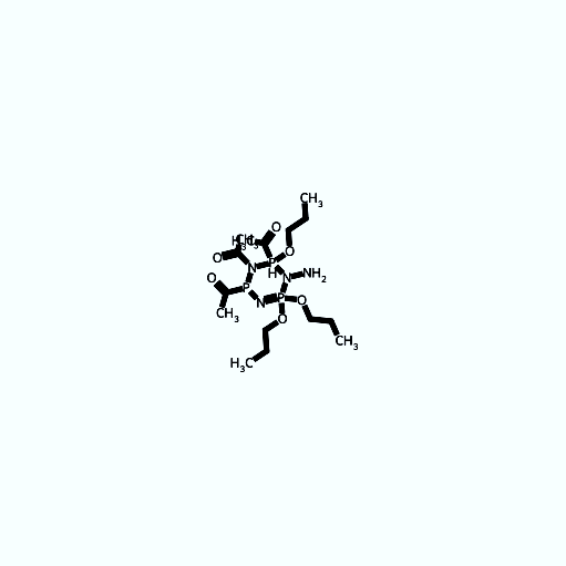 CCCOP1(OCCC)=NP(C(C)=O)N(C(C)=O)[PH](OCCC)(C(C)=O)N1N